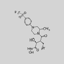 CC(C)C[C@H](C(=O)N1CCN(c2ccc(S(=O)(=O)C(F)(F)F)cc2)C[C@H]1C)[C@H](O)C(=O)NO